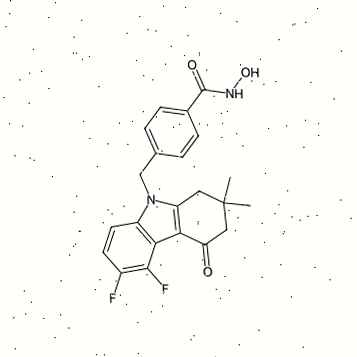 CC1(C)CC(=O)c2c(n(Cc3ccc(C(=O)NO)cc3)c3ccc(F)c(F)c23)C1